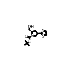 CC(C)(C)OC(=O)N1CC(c2nccs2)C[C@@H]1CO